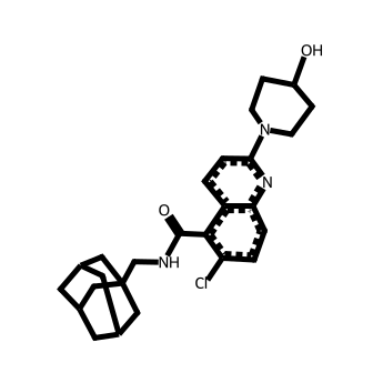 O=C(NCC12CC3CC(CC(C3)C1)C2)c1c(Cl)ccc2nc(N3CCC(O)CC3)ccc12